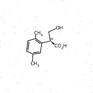 Cc1ccc(C)c([C@@H](CO)C(=O)O)c1